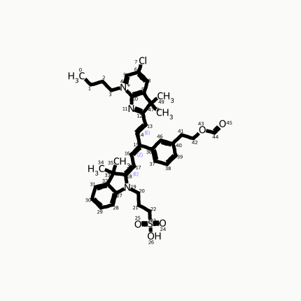 CCCC[n+]1cc(Cl)cc2c1N=C(/C=C/C(=C/C=C1/N(CCCS(=O)(=O)O)c3ccccc3C1(C)C)c1cccc(CCOC=O)c1)C2(C)C